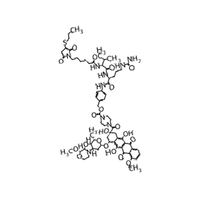 CCCSC1CC(=O)N(CCCCCC(=O)N[C@H](C(=O)N[C@@H](CCCNC(N)=O)C(=O)Nc2ccc(COC(=O)N3CCN(C(=O)[C@]4(O)Cc5c(O)c6c(c(O)c5[C@@H](O[C@H]5C[C@H]7[C@H](O[C@@H]8[C@@H](OC)OCCN87)[C@H](C)O5)C4)C(=O)c4c(OC)cccc4C6=O)CC3)cc2)C(C)C)C1=O